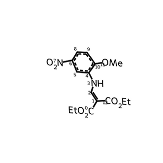 CCOC(=O)C(=CNc1cc([N+](=O)[O-])ccc1OC)C(=O)OCC